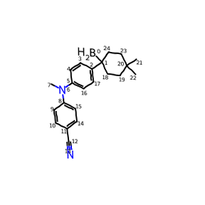 BC1(c2ccc(N(C)c3ccc(C#N)cc3)cc2)CCC(C)(C)CC1